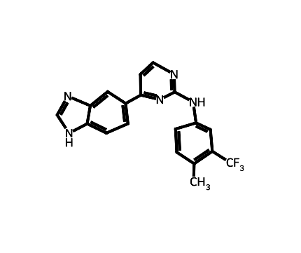 Cc1ccc(Nc2nccc(-c3ccc4[nH]cnc4c3)n2)cc1C(F)(F)F